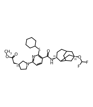 COC(=O)C[C@@H]1CCN(c2ccc(C(=O)N[C@H]3CCC4CC5C[C@@](OC(F)F)(C4)CC53)c(SC3CCCCC3)n2)C1